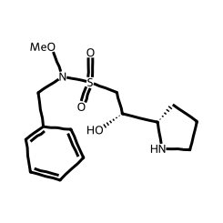 CON(Cc1ccccc1)S(=O)(=O)C[C@@H](O)[C@@H]1CCCN1